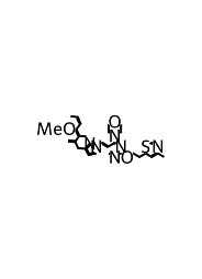 C=C(Cc1ccn(/C=C/C(=N\C(=N/C)OCCC2C=C(C)N=CS2)N2CCOCC2)n1)/C(C)=C(/C=C\C)OC